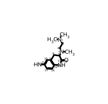 CN(C)CCN(C)C1Cc2cc([NH])ccc2NC1=O